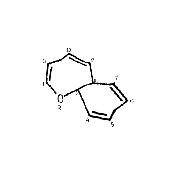 C1=COC2C=CC=CC2C=C1